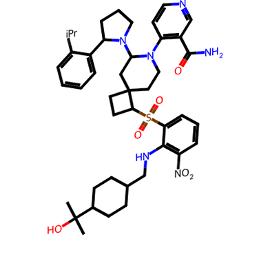 CC(C)c1ccccc1C1CCCN1C1CC2(CCC2S(=O)(=O)c2cccc([N+](=O)[O-])c2NCC2CCC(C(C)(C)O)CC2)CCN1c1ccncc1C(N)=O